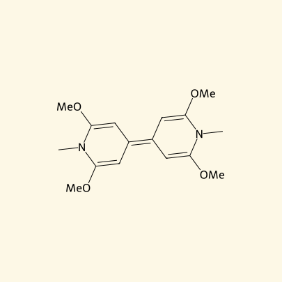 COC1=CC(=C2C=C(OC)N(C)C(OC)=C2)C=C(OC)N1C